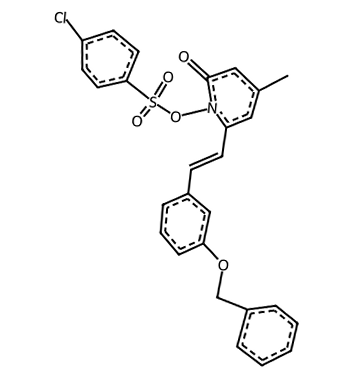 Cc1cc(C=Cc2cccc(OCc3ccccc3)c2)n(OS(=O)(=O)c2ccc(Cl)cc2)c(=O)c1